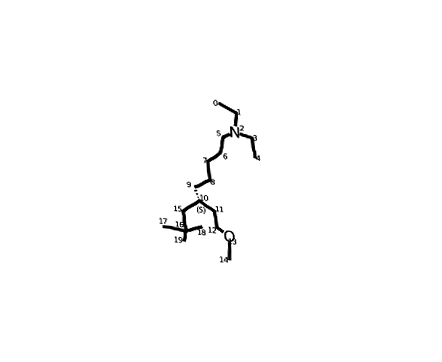 CCN(CC)CCCCC[C@H](CCOC)CC(C)(C)C